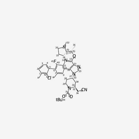 Cc1cccc(-c2c(C)cc3c(nc(O[C@@H](C)[C@@H]4CCCN4C)c4ncn([C@H]5CCN(C(=O)OC(C)(C)C)[C@H](CC#N)C5)c43)c2F)c1Cl